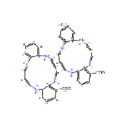 O=C([O-])c1cccc2c1N=CC=CNc1ccccc1N=CC=CN2.O=C([O-])c1cccc2c1N=CC=CNc1ccccc1N=CC=CN2.[Fe+2]